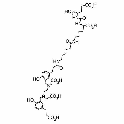 O=C(O)CCc1ccc(O)c(CN(CCN(CC(=O)O)Cc2cc(CCC(=O)NCCCCCC(=O)NCCCCC(NC(=O)NC(CCC(=O)O)C(=O)O)C(=O)O)ccc2O)CC(=O)O)c1